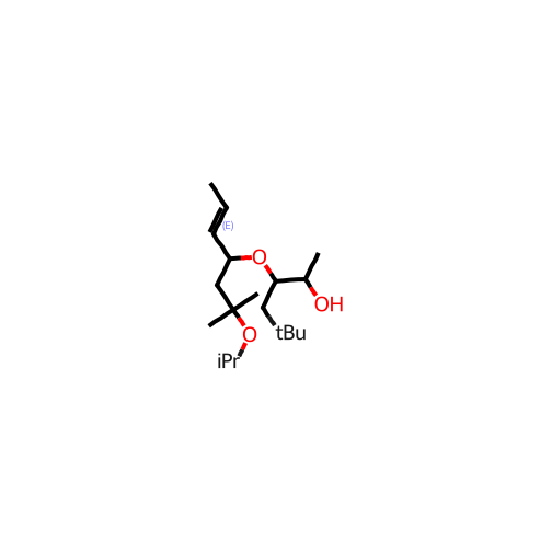 C/C=C/C(CC(C)(C)OC(C)C)OC(CC(C)(C)C)C(C)O